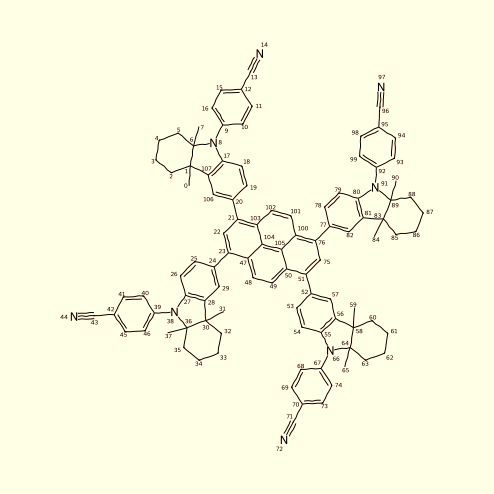 CC12CCCCC1(C)N(c1ccc(C#N)cc1)c1ccc(-c3cc(-c4ccc5c(c4)C4(C)CCCCC4(C)N5c4ccc(C#N)cc4)c4ccc5c(-c6ccc7c(c6)C6(C)CCCCC6(C)N7c6ccc(C#N)cc6)cc(-c6ccc7c(c6)C6(C)CCCCC6(C)N7c6ccc(C#N)cc6)c6ccc3c4c65)cc12